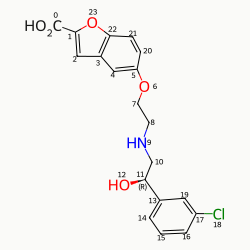 O=C(O)c1cc2cc(OCCNC[C@H](O)c3cccc(Cl)c3)ccc2o1